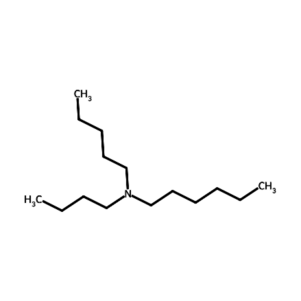 CCCCCCN(CCCC)CCCCC